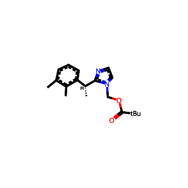 Cc1cccc([C@@H](C)c2nccn2COC(=O)C(C)(C)C)c1C